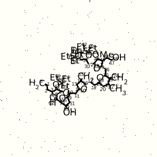 C=CCC1O[C@@H]2CC(OC3(CCC4CC(=C)[C@H](CCC5CC(C)C(=C)C(C[C@H]6O[C@H](CC(CO[Si](CC)(CC)CC)O[Si](CC)(CC)CC)[C@H](OC)C6CCO)O5)O4)C[C@@H](O)C2O3)C1O[Si](CC)(CC)CC